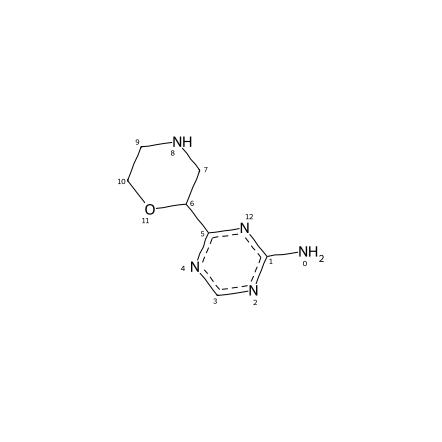 Nc1ncnc(C2CNCCO2)n1